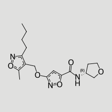 CCCCc1noc(C)c1COc1cc(C(=O)N[C@@H]2CCOC2)on1